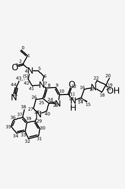 C=CC(=O)N1CCN(c2cc(C(=O)N[C@H](C)CN3CC(C)(O)C3)nc3c2CCN(c2cccc4cccc(C)c24)C3)C[C@@H]1CC#N